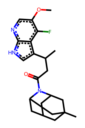 COc1cnc2[nH]cc(C(C)CC(=O)N3C4CC5CC3CC(C)(C5)C4)c2c1F